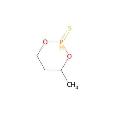 CC1CCO[PH](=S)O1